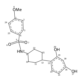 COc1ccc(S(=O)(=O)NC2CCC(c3ccc(O)cc3O)CC2)cc1